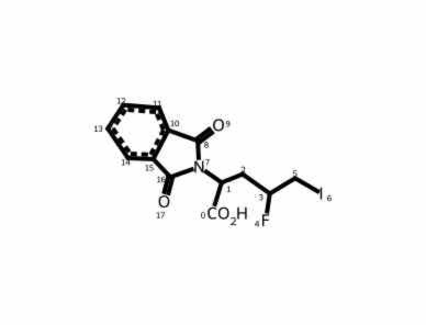 O=C(O)C(CC(F)CI)N1C(=O)c2ccccc2C1=O